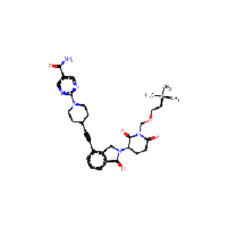 C[Si](C)(C)CCOCN1C(=O)CCC(N2Cc3c(C#CC4CCN(c5ncc(C(N)=O)cn5)CC4)cccc3C2=O)C1=O